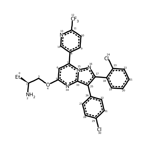 CC[C@H](N)COc1cc(-c2ccc(C(F)(F)F)nc2)n2nc(-c3ccccc3Cl)c(-c3ccc(Cl)cc3)c2n1